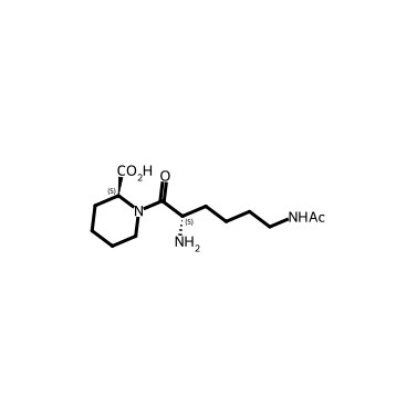 CC(=O)NCCCC[C@H](N)C(=O)N1CCCC[C@H]1C(=O)O